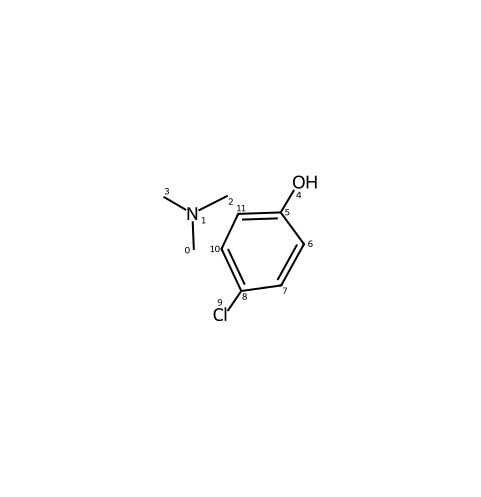 CN(C)C.Oc1ccc(Cl)cc1